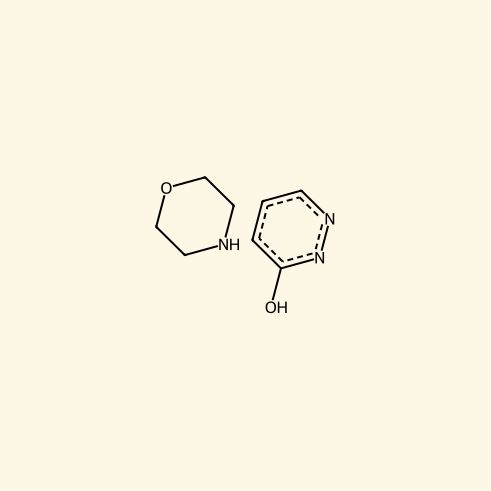 C1COCCN1.Oc1cccnn1